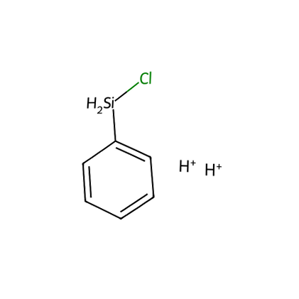 Cl[SiH2]c1ccccc1.[H+].[H+]